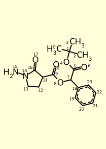 CC(C)(C)OC(=O)C(OC(=O)C1CCN(N)C1=O)c1ccccc1